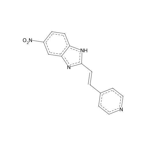 O=[N+]([O-])c1ccc2[nH]c(C=Cc3ccncc3)nc2c1